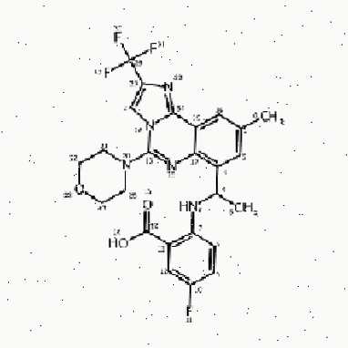 Cc1cc(C(C)Nc2ccc(F)cc2C(=O)O)c2nc(N3CCOCC3)n3cc(C(F)(F)F)nc3c2c1